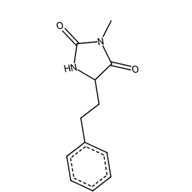 CN1C(=O)NC(CCc2ccccc2)C1=O